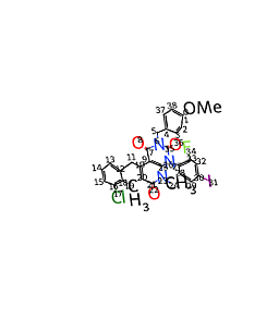 COc1ccc(Cn2c(=O)c3c(Cc4cccc(Cl)c4C)cc(=O)n(C)c3n(-c3ccc(I)cc3F)c2=O)cc1